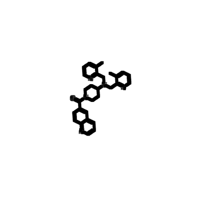 Cc1cccnc1CN(Cc1ncccc1C)C1CCN(C(=O)c2ccc3ncccc3c2)CC1